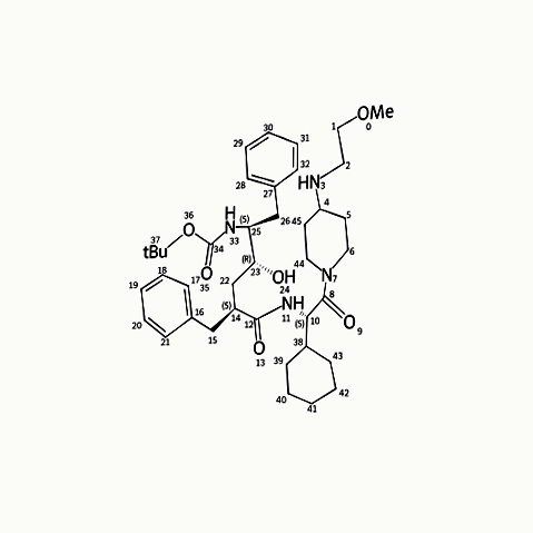 COCCNC1CCN(C(=O)[C@@H](NC(=O)[C@@H](Cc2ccccc2)C[C@@H](O)[C@H](Cc2ccccc2)NC(=O)OC(C)(C)C)C2CCCCC2)CC1